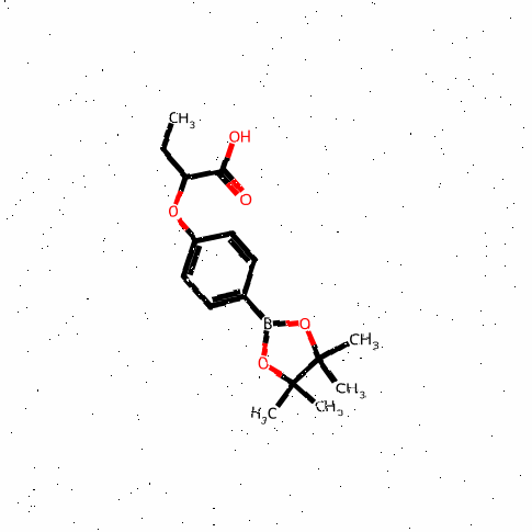 CCC(Oc1ccc(B2OC(C)(C)C(C)(C)O2)cc1)C(=O)O